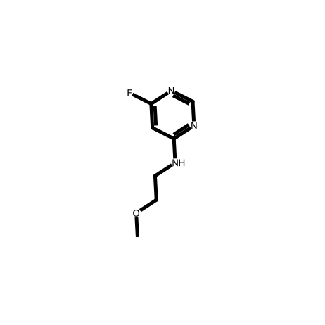 COCCNc1cc(F)ncn1